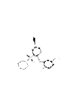 Cc1ccc(C)c(Sc2ccc(C#N)cc2S(=O)(=O)N2CCSCC2)c1